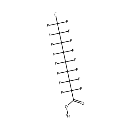 [2H]OC(=O)C(F)(F)C(F)(F)C(F)(F)C(F)(F)C(F)(F)C(F)(F)C(F)(F)C(F)(F)F